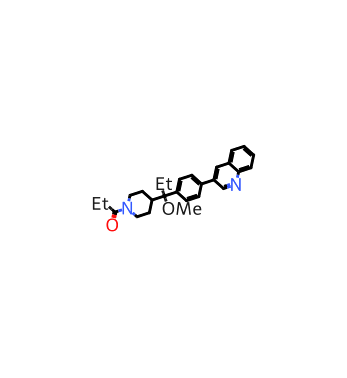 CCC(=O)N1CCC(C(CC)(OC)c2ccc(-c3cnc4ccccc4c3)cc2)CC1